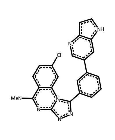 CNc1nc2nnc(-c3cccc(-c4cnc5cc[nH]c5c4)c3)n2c2cc(Cl)ccc12